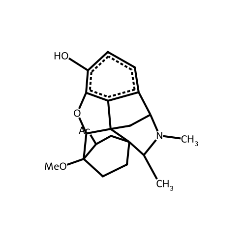 COC12CCC3(CC1C(C)=O)C(C)N(C)C1CC34c3c1ccc(O)c3OC24